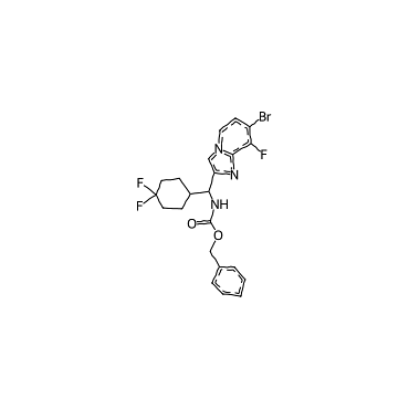 O=C(NC(c1cn2ccc(Br)c(F)c2n1)C1CCC(F)(F)CC1)OCc1ccccc1